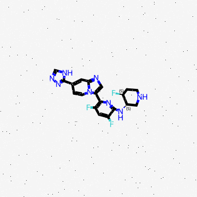 Fc1cc(F)c(-c2cnc3cc(-c4nnc[nH]4)ccn23)nc1N[C@H]1CNCC[C@@H]1F